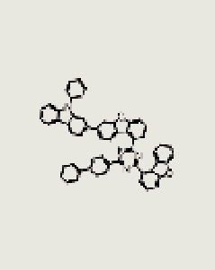 c1ccc(-c2ccc(-c3nc(-c4cccc5oc6ccccc6c45)nc(-c4cccc5oc6cc(-c7ccc8c9ccccc9n(-c9ccccc9)c8c7)ccc6c45)n3)cc2)cc1